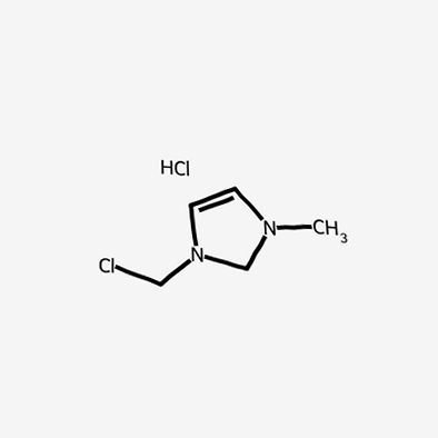 CN1C=CN(CCl)C1.Cl